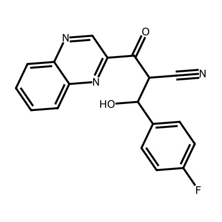 N#CC(C(=O)c1cnc2ccccc2n1)C(O)c1ccc(F)cc1